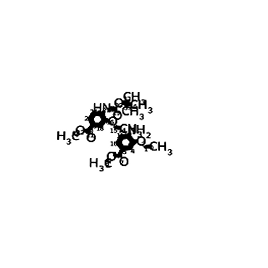 CCOc1cc(C(=O)OC)ccc1N.CCOc1cc(C(=O)OC)ccc1NC(=O)OC(C)(C)C